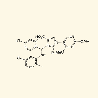 COc1ncc(-n2nc(C(=O)O)c(C(Nc3cc(Cl)ccc3C)c3ccc(Cl)cc3C)c2C(C)C)c(OC)n1